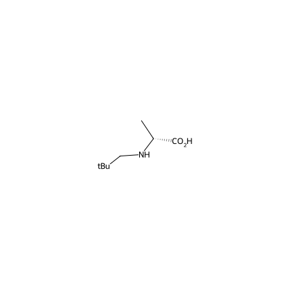 C[C@@H](NCC(C)(C)C)C(=O)O